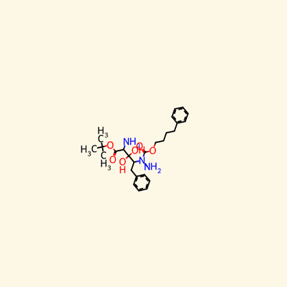 CC(C)(C)OC(=O)C(N)C(O)(O)C(Cc1ccccc1)N(N)C(=O)OCCCCc1ccccc1